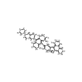 c1ccc(-c2ccc3cc(-c4c5ccccc5c(-c5ccc6oc7c8ccccc8c8ccccc8c7c6c5)c5ccccc45)ccc3c2)cc1